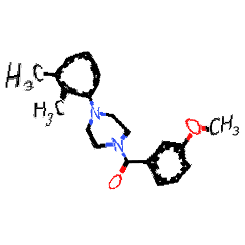 COc1cccc(C(=O)N2CCN(c3cccc(C)c3C)CC2)c1